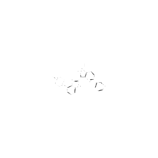 CN1CCN(c2cccc3[nH]c(-c4n[nH]c5ccc(-c6cccnc6)nc45)nc23)CC1